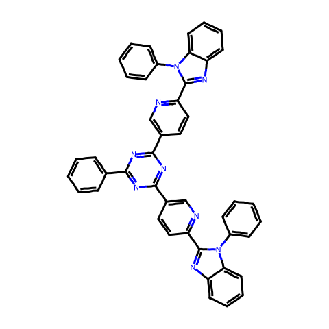 c1ccc(-c2nc(-c3ccc(-c4nc5ccccc5n4-c4ccccc4)nc3)nc(-c3ccc(-c4nc5ccccc5n4-c4ccccc4)nc3)n2)cc1